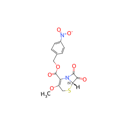 COC1=C(C(=O)OCc2ccc([N+](=O)[O-])cc2)N2C(=O)C(=O)[C@@H]2SC1